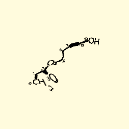 C=CC(=O)OCCC#CO